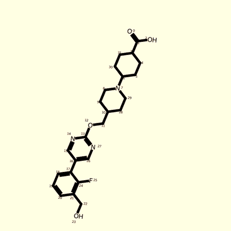 O=C(O)C1CCC(N2CCC(COc3ncc(-c4cccc(CO)c4F)cn3)CC2)CC1